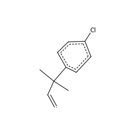 [CH]=CC(C)(C)c1ccc(Cl)cc1